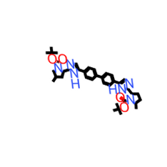 CC1CC(c2ncc(-c3ccc(-c4ccc(-c5cnc(C6CCC(C)N6C(=O)OC(C)(C)C)[nH]5)cc4)cc3)[nH]2)N(C(=O)OC(C)(C)C)C1